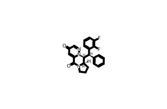 O=C1c2cc(=O)cnn2[C@@H]([C@H](c2ccccc2)c2cccc(F)c2F)[C@H]2CCCN12